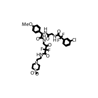 COc1ccc([C@H](NC(=O)CNC(=O)C(F)(F)c2cccc(Cl)c2)C(=O)NCC(=O)C(F)(F)C(=O)NCCN2CCS(=O)(=O)CC2)cc1